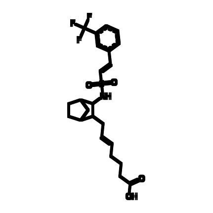 O=C(O)CCC/C=C/CC1C2CCC(C2)C1NS(=O)(=O)/C=C/c1cccc(C(F)(F)F)c1